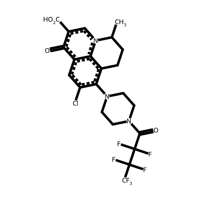 CC1CCc2c(N3CCN(C(=O)C(F)(F)C(F)(F)C(F)(F)F)CC3)c(Cl)cc3c(=O)c(C(=O)O)cn1c23